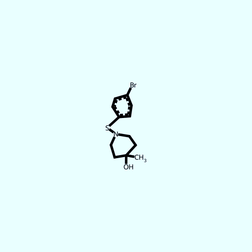 CC1(O)CCN(Sc2ccc(Br)cc2)CC1